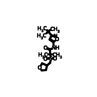 CC(C)(C)c1cc(NC(=O)C(C)(C)S(=O)(=O)CC2CCOC2)on1